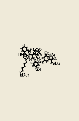 CCCCCCCCCCCCCCCCCCN1C(C(C(=O)Nc2ccc(C(C)(C)C)cc2OCC(CCC(CC)CC(C)(C)C)CC(CC)CC(C)(C)C)N2C(=O)OC(C)(C)C2=O)=Nc2ccccc2S1(O)O